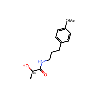 COc1ccc(CCCNC(=O)[C@@H](C)O)cc1